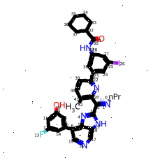 CCC/N=C(/c1nc2c(-c3cc(O)cc(F)c3)cncc2[nH]1)c1nc(-c2cc(I)cc(NC(=O)C3CCCCC3)c2)ccc1C